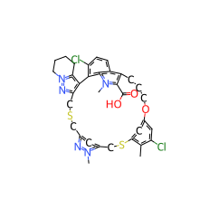 Cc1c(Cl)cc2cc1SCc1cc(nn1C)CSCc1nn3c(c1-c1c(Cl)ccc4c(c(C(=O)O)n(C)c14)CCCO2)CCCC3